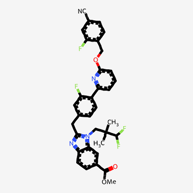 COC(=O)c1ccc2nc(Cc3ccc(-c4cccc(OCc5ccc(C#N)cc5F)n4)c(F)c3)n(CC(C)(C)C(F)F)c2c1